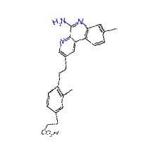 Cc1ccc2c(c1)nc(N)c1ncc(CCc3ccc(CCC(=O)O)cc3C)cc12